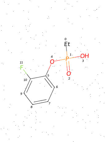 CCP(=O)(O)Oc1ccccc1F